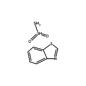 O=[SH](=O)[SiH3].c1ccc2scnc2c1